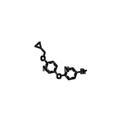 Brc1ccc(Oc2ccc(OCC3CC3)nc2)nc1